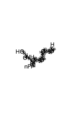 CCC[Si](C)(C)O[Si](C)(CCCNC(=O)CCCO)O[Si](C)(C)CC[Si](C)(C)O[Si](C)(C)CC[Si](C)(C)O[Si](C)(C)CC[Si](C)(C)O[SiH](C)C